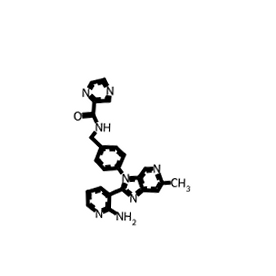 Cc1cc2nc(-c3cccnc3N)n(-c3ccc(CNC(=O)c4cnccn4)cc3)c2cn1